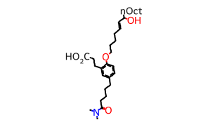 CCCCCCCCC(O)/C=C/CCCCOc1ccc(CCCCC(=O)N(C)C)cc1CCC(=O)O